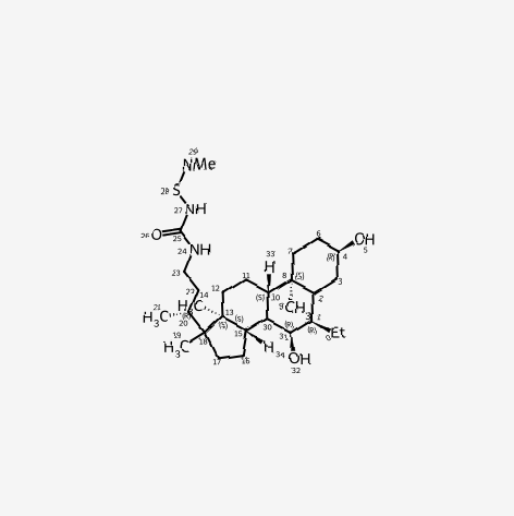 CC[C@@H]1C2C[C@H](O)CC[C@]2(C)[C@H]2CC[C@@]3(C)[C@@H](CCC3(C)[C@H](C)CCNC(=O)NSNC)C2[C@@H]1O